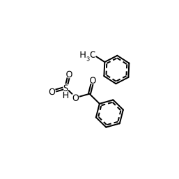 Cc1ccccc1.O=C(O[SH](=O)=O)c1ccccc1